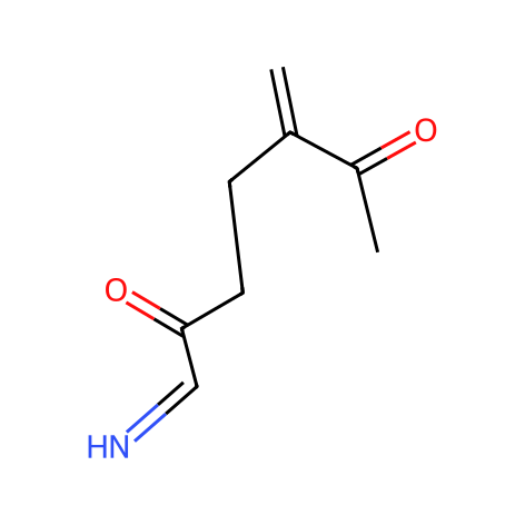 C=C(CCC(=O)C=N)C(C)=O